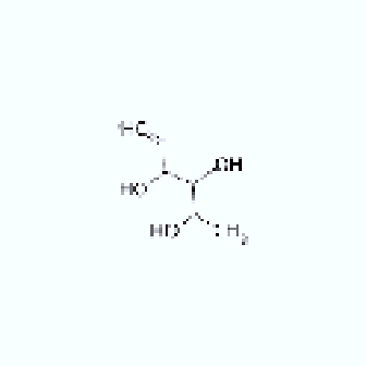 [CH]=CC(O)C(O)C(C)O